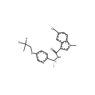 C[C@@H](NC(=O)c1cn(C)c2ccc(Cl)cc12)c1ccc(OCC(F)(F)F)cn1